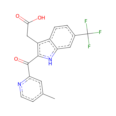 Cc1ccnc(C(=O)c2[nH]c3cc(C(F)(F)F)ccc3c2CC(=O)O)c1